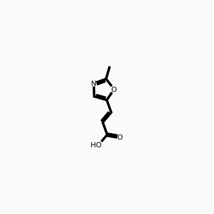 Cc1ncc(C=CC(=O)O)o1